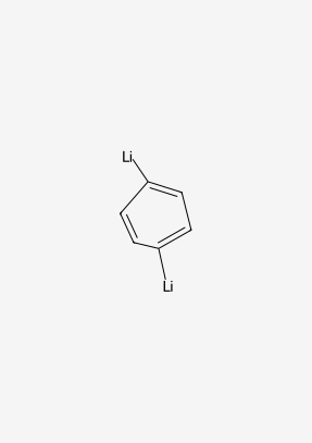 [Li][c]1cc[c]([Li])cc1